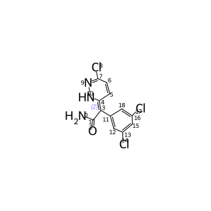 NC(=O)/C(=C1/C=CC(Cl)=NN1)c1cc(Cl)cc(Cl)c1